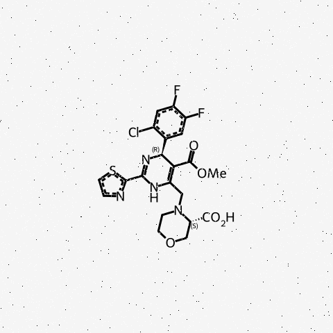 COC(=O)C1=C(CN2CCOC[C@H]2C(=O)O)NC(c2nccs2)=N[C@H]1c1cc(F)c(F)cc1Cl